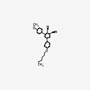 CCCCCCOc1ccc(-c2cc(C#N)c(C#N)c(-c3ccc(OC)cc3)c2)cc1